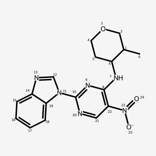 CC1COCCC1Nc1nc(-n2cnc3ccccc32)ncc1[N+](=O)[O-]